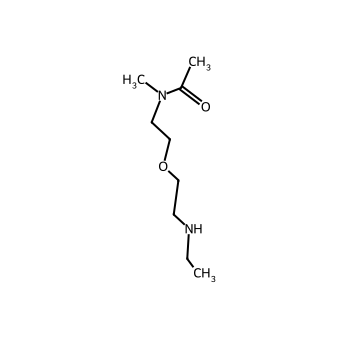 CCNCCOCCN(C)C(C)=O